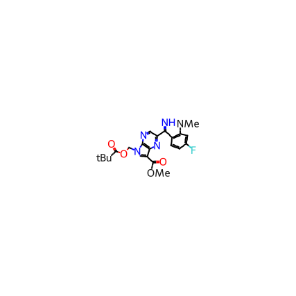 CNc1cc(F)ccc1C(=N)c1cnc2c(n1)c(C(=O)OC)cn2COC(=O)C(C)(C)C